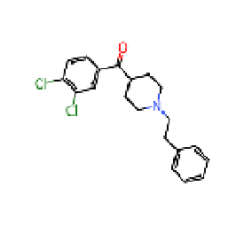 O=C(c1ccc(Cl)c(Cl)c1)C1CCN(CCc2ccccc2)CC1